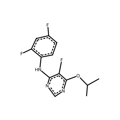 CC(C)Oc1ncnc(Nc2ccc(F)cc2F)c1F